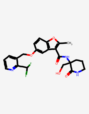 Cc1oc2ccc(OCc3cccnc3C(F)F)cc2c1C(=O)NC1(CO)CCCNC1=O